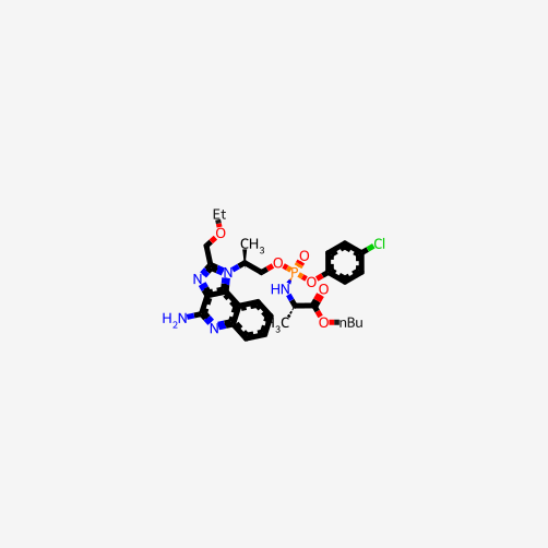 CCCCOC(=O)[C@H](C)N[P@](=O)(OC[C@H](C)n1c(COCC)nc2c(N)nc3ccccc3c21)Oc1ccc(Cl)cc1